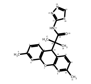 Cc1ccc2c(n1)Oc1nc(C)ccc1C2C(C)(C)C(=O)Nc1nncs1